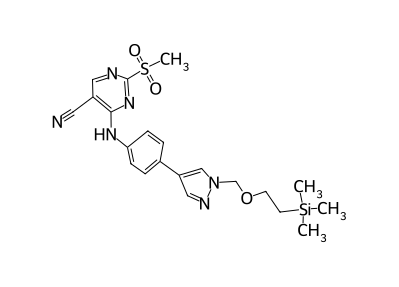 C[Si](C)(C)CCOCn1cc(-c2ccc(Nc3nc(S(C)(=O)=O)ncc3C#N)cc2)cn1